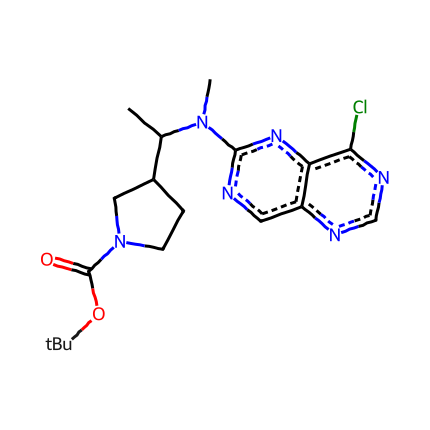 CC(C1CCN(C(=O)OC(C)(C)C)C1)N(C)c1ncc2ncnc(Cl)c2n1